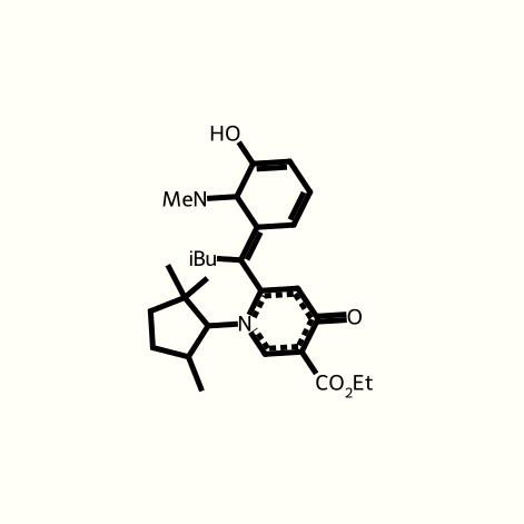 CCOC(=O)c1cn(C2C(C)CCC2(C)C)c(/C(=C2\C=CC=C(O)C2NC)C(C)CC)cc1=O